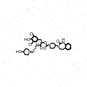 O=C(N=C=C=CN1CCC(O)CC1)[C@@H](Cc1cc(Cl)c(O)c(Cl)c1)OC(=O)N1CCC(N2CCc3ccccc3NC2=O)CC1